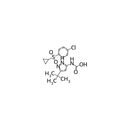 CC(C)(C)c1cc(NC(=O)O)[nH]n1.O=S(=O)(c1ccc(Cl)cc1)C1CC1